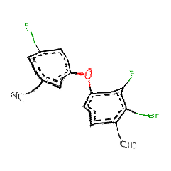 N#Cc1cc(F)cc(Oc2ccc(C=O)c(Br)c2F)c1